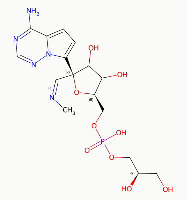 C/N=C\[C@@]1(c2ccc3c(N)ncnn23)O[C@H](COP(=O)(O)OC[C@H](O)CO)C(O)C1O